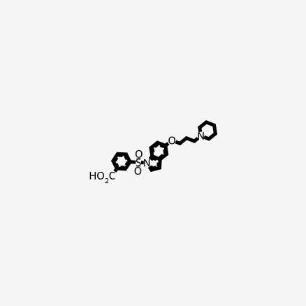 O=C(O)c1cccc(S(=O)(=O)n2ccc3cc(OCCCN4CCCCC4)ccc32)c1